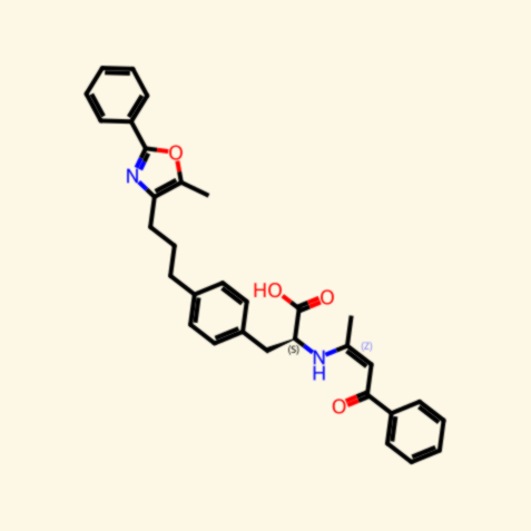 C/C(=C/C(=O)c1ccccc1)N[C@@H](Cc1ccc(CCCc2nc(-c3ccccc3)oc2C)cc1)C(=O)O